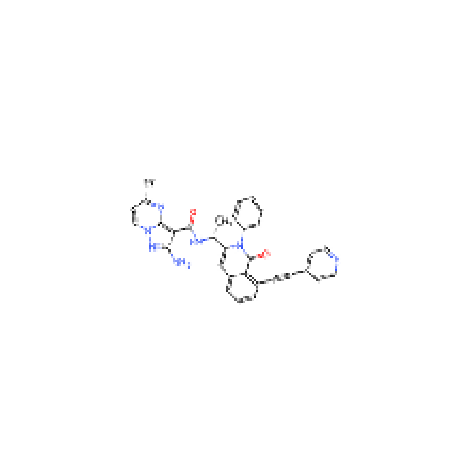 CC(C)c1ccn2nc(N)c(C(=O)N[C@H](C)c3cc4cccc(C#Cc5ccncc5)c4c(=O)n3-c3ccccc3)c2n1